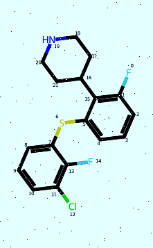 Fc1cccc(Sc2cccc(Cl)c2F)c1C1CCNCC1